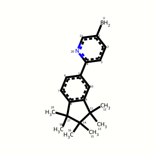 Bc1ccc(-c2ccc3c(c2)C(C)(C)C(C)(C)C3(C)C)nc1